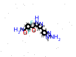 Cn1c(N)nc2cc(-c3cnc4[nH]cc(C(=O)c5c(F)ccc(C(N)=O)c5F)c4c3)ccc21